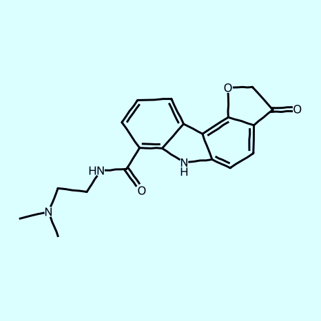 CN(C)CCNC(=O)c1cccc2c1[nH]c1ccc3c(c12)OCC3=O